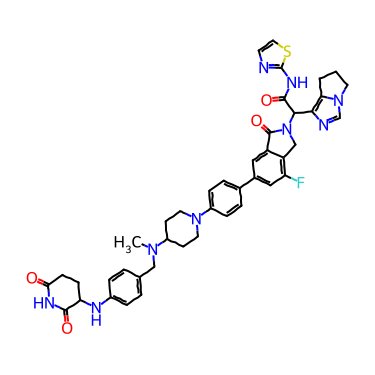 CN(Cc1ccc(NC2CCC(=O)NC2=O)cc1)C1CCN(c2ccc(-c3cc(F)c4c(c3)C(=O)N(C(C(=O)Nc3nccs3)c3ncn5c3CCC5)C4)cc2)CC1